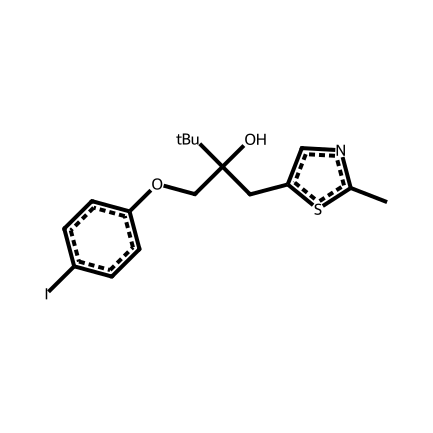 Cc1ncc(CC(O)(COc2ccc(I)cc2)C(C)(C)C)s1